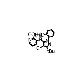 Cc1ccccc1-n1nc(C(C)(C)C)c(Cl)c1Nc1cccnc1C(=O)O